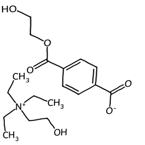 CC[N+](CC)(CC)CCO.O=C([O-])c1ccc(C(=O)OCCO)cc1